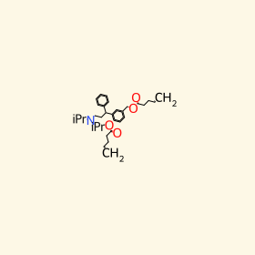 C=CCCC(=O)OCc1ccc(OC(=O)CCC=C)c(C(CCN(C(C)C)C(C)C)c2ccccc2)c1